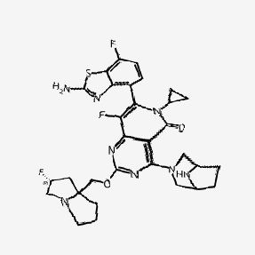 Nc1nc2c(-c3c(F)c4nc(OCC56CCCN5C[C@H](F)C6)nc(N5CC6CCC(C5)N6)c4c(=O)n3C3CC3)ccc(F)c2s1